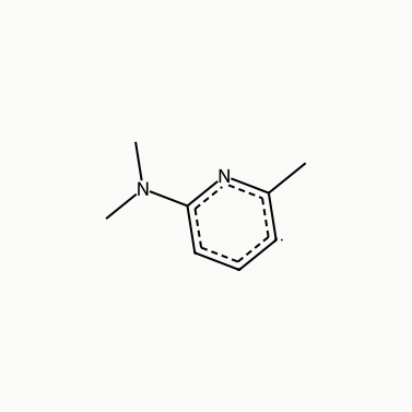 Cc1[c]ccc(N(C)C)n1